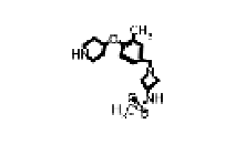 Cc1cc(CN2CC(NS(C)(=O)=O)C2)ccc1OC1CCNCC1